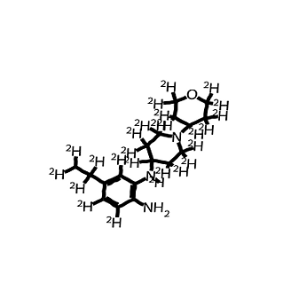 [2H]c1c([2H])c(C([2H])([2H])C([2H])[2H])c([2H])c(N([2H])C2([2H])C([2H])([2H])C([2H])([2H])N(C3([2H])C([2H])([2H])C([2H])([2H])OC([2H])([2H])C3([2H])[2H])C([2H])([2H])C2([2H])[2H])c1N